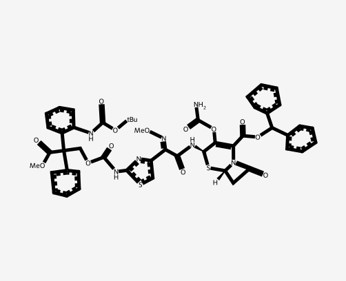 CON=C(C(=O)N[C@@H]1S[C@H]2CC(=O)N2C(C(=O)OC(c2ccccc2)c2ccccc2)=C1OC(N)=O)c1csc(NC(=O)OCC(C(=O)OC)(c2ccccc2)c2ccccc2NC(=O)OC(C)(C)C)n1